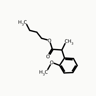 CCCCOC(=O)C(C)c1ccccc1OC